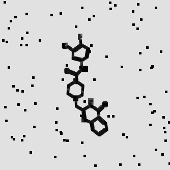 O=C(Nc1ccc(F)c(Cl)c1)N1CCN(Cc2nc3ccccc3c(=O)[nH]2)CC1